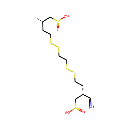 C[C@@H](CCSSCCSSCC[C@H](C=N)CS(=O)O)CS(=O)O